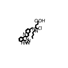 CCCCc1nc(Cl)c(CCC(=O)O)n1Cc1ccc2nc(-c3ccccc3-c3nnn[nH]3)ccc2c1